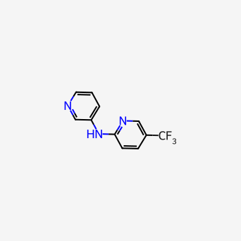 FC(F)(F)c1ccc(Nc2cccnc2)nc1